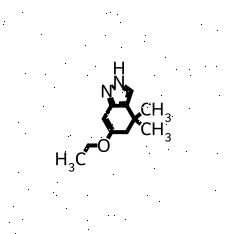 CCOC1=Cc2n[nH]cc2C(C)(C)C1